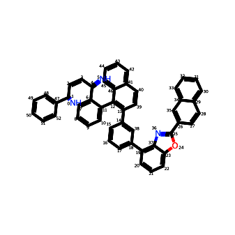 N=C(/C=C\C(=N)c1ccccc1-c1c(-c2cccc(-c3cccc4oc(-c5ccc6ccccc6c5)nc34)c2)ccc2ccccc12)c1ccccc1